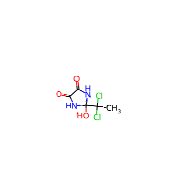 CC(Cl)(Cl)C1(O)NC(=O)C(=O)N1